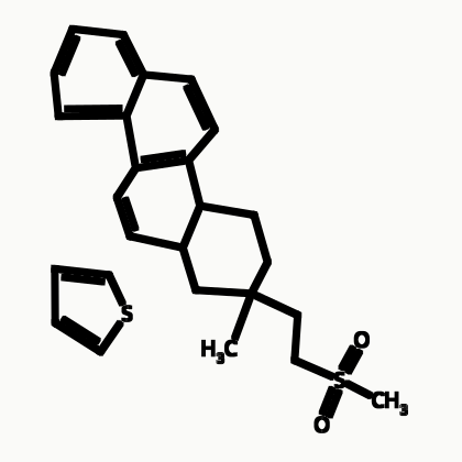 CC1(CCS(C)(=O)=O)CCC2c3ccc4ccccc4c3C=CC2C1.c1ccsc1